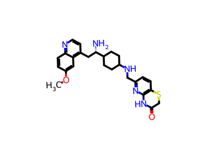 COc1ccc2nccc(C[C@H](N)C3CCC(NCc4ccc5c(n4)NC(=O)CS5)CC3)c2c1